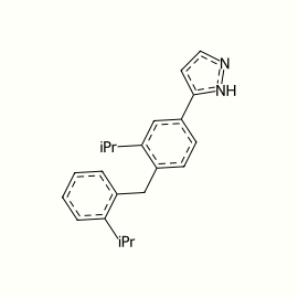 CC(C)c1ccccc1Cc1ccc(-c2ccn[nH]2)cc1C(C)C